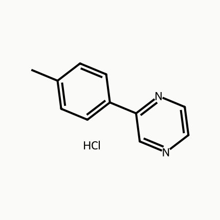 Cc1ccc(-c2cnccn2)cc1.Cl